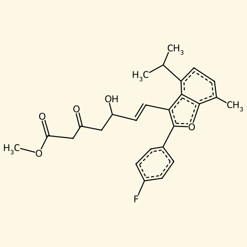 COC(=O)CC(=O)CC(O)C=Cc1c(-c2ccc(F)cc2)oc2c(C)ccc(C(C)C)c12